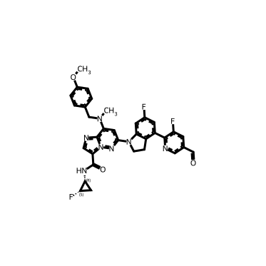 COc1ccc(CN(C)c2cc(N3CCc4c(-c5ncc(C=O)cc5F)cc(F)cc43)nn3c(C(=O)N[C@@H]4C[C@@H]4F)cnc23)cc1